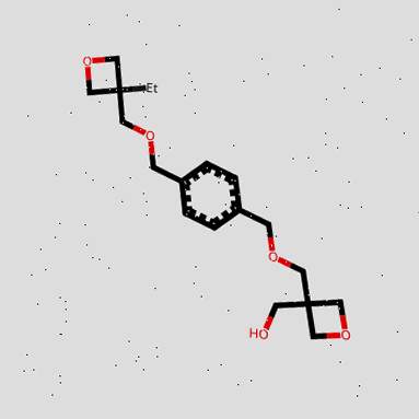 CCC1(COCc2ccc(COCC3(CO)COC3)cc2)COC1